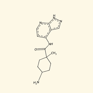 CC1(C(=O)Nc2ccnc3[nH]ncc23)CCC(N)CC1